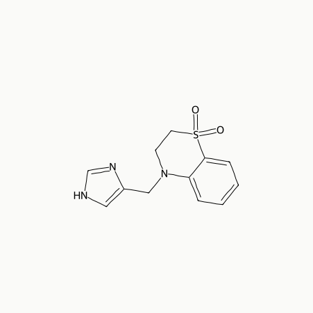 O=S1(=O)CCN(Cc2c[nH]cn2)c2ccccc21